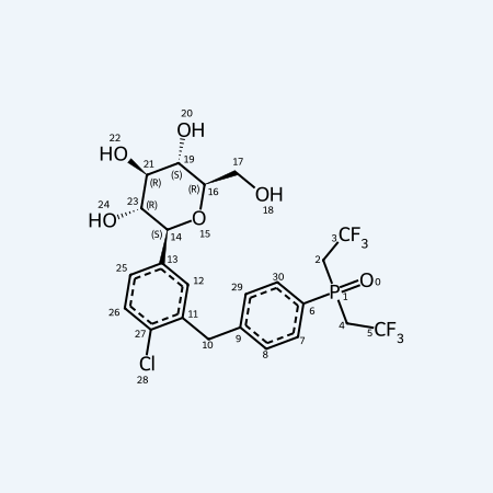 O=P(CC(F)(F)F)(CC(F)(F)F)c1ccc(Cc2cc([C@@H]3O[C@H](CO)[C@@H](O)[C@H](O)[C@H]3O)ccc2Cl)cc1